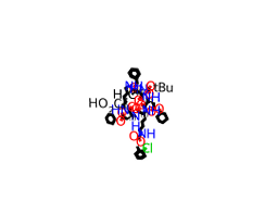 C[C@@H](OCc1ccccc1)[C@H](NC(=O)OC(C)(C)C)C(=O)N[C@@H](CC(=O)OC1CCCCC1)C(=O)N[C@@H](CCCCNC(=O)OCc1ccccc1Cl)C(=O)N[C@@H](CC(=O)OC1CCCCC1)C(=O)N[C@@H](CCCCN)C(=O)O